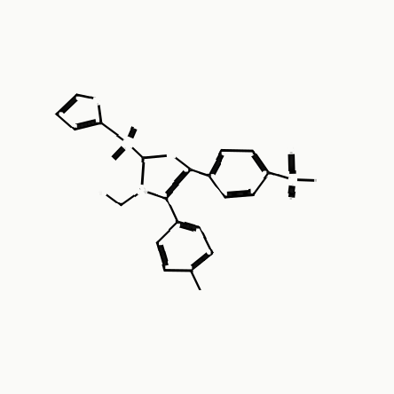 CS(=O)(=O)c1ccc(C2=C(c3ccc(F)cc3)N(CBr)C(S(=O)(=O)c3cccs3)S2)cc1